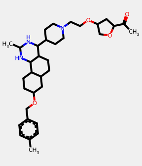 CC(=O)C1CC(OCCN2CCC(C3NC(C)NC4C5CCC(OCc6ccc(C)cc6)CC5CCC34)CC2)CO1